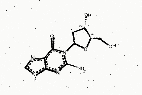 Nc1nc2[nH]cnc2c(=O)n1C1C[C@H](O)[C@@H](CO)O1